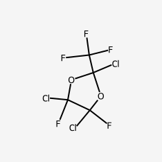 FC(F)(F)C1(Cl)OC(F)(Cl)C(F)(Cl)O1